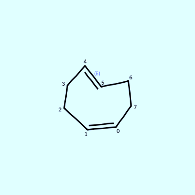 C1=CCC/C=C/CC1